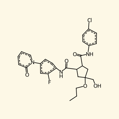 CCCOC1(CO)CC(C(=O)Nc2ccc(Cl)cc2)C(C(=O)Nc2ccc(-n3ccccc3=O)cc2F)C1